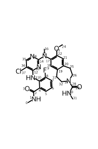 CNC(=O)c1cccc(F)c1Nc1nc(N(C)c2cc3c(cc2OC)CCN(C(=O)NC)CC3)ncc1Cl